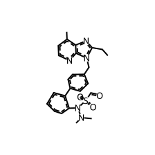 CCc1nc2c(C)ccnc2n1Cc1ccc(-c2ccccc2N(N(C)C)S(=O)(=O)C=O)cc1